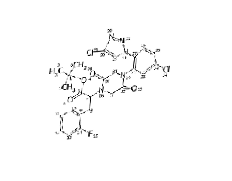 CC(C)(C)OC(=O)C(Cc1ccccc1F)N1CC(=O)N(c2cc(Cl)ccc2-n2cc(Cl)nn2)CC1=O